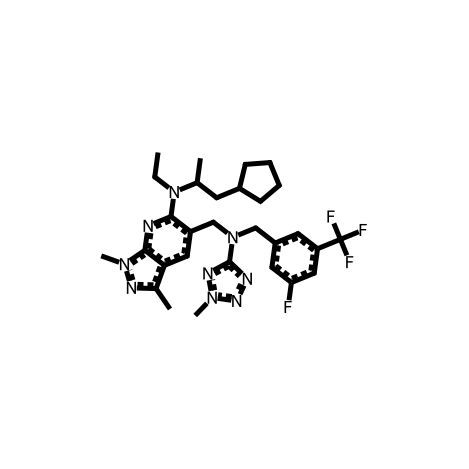 CCN(c1nc2c(cc1CN(Cc1cc(F)cc(C(F)(F)F)c1)c1nnn(C)n1)c(C)nn2C)C(C)CC1CCCC1